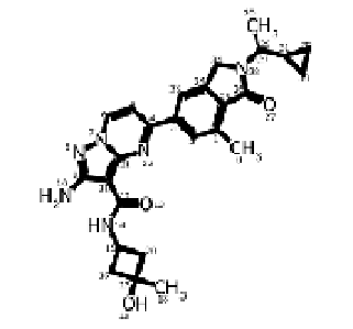 Cc1cc(-c2ccn3nc(N)c(C(=O)NC4CC(C)(O)C4)c3n2)cc2c1C(=O)N([C@@H](C)C1CC1)C2